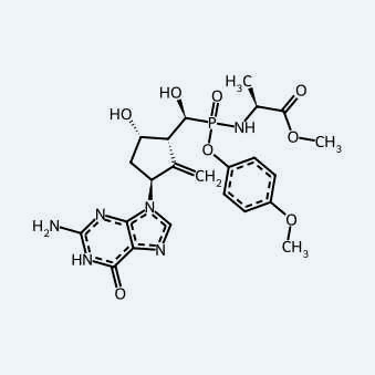 C=C1[C@@H]([C@@H](O)P(=O)(N[C@@H](C)C(=O)OC)Oc2ccc(OC)cc2)[C@@H](O)C[C@@H]1n1cnc2c(=O)[nH]c(N)nc21